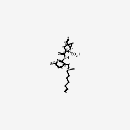 C=CCCCCCN(C)Cc1ccc(Br)nc1NC(=O)C1CC2(C=C)CC2N1C(=O)O